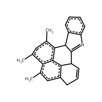 Cc1cc(C)c2c(C)cc3c4c2c1C1C(=Nc2ccccc21)C4C=CC3